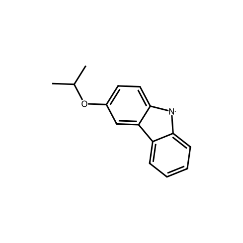 CC(C)Oc1ccc2c(c1)-c1ccccc1[N]2